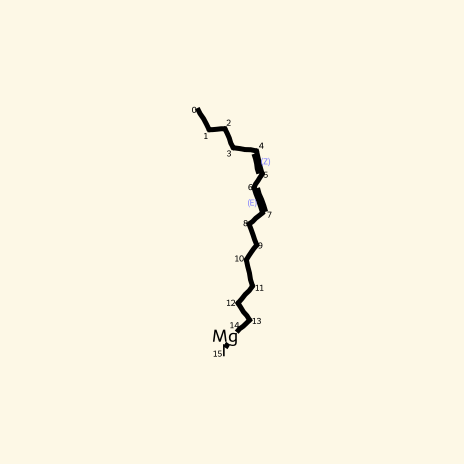 CCCC/C=C\C=C\CCCCC[CH2][Mg][I]